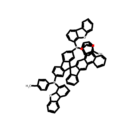 Cc1ccc(N(C2=CC=CC3c4ccccc4OC23)c2ccc3c(c2)C2(c4ccccc4-c4cc5c6ccccc6c6ccccc6c5cc42)c2cc(N(c4ccc(C)cc4)c4cccc5c4oc4ccccc45)ccc2-3)cc1